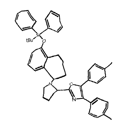 Cc1ccc(-c2nc(C3CCCN3C3CCCc4c(O[Si](c5ccccc5)(c5ccccc5)C(C)(C)C)cccc43)oc2-c2ccc(C)cc2)cc1